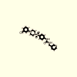 O=C(NCc1cccnc1)Nc1ccc(S(=O)(=O)N2CCN(c3cccc(Cl)c3)CC2)cc1